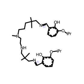 CC(C)Oc1cccc(/C=N/CC(C)(C)CCCN(C)CCNCC(C)(C)C/N=C/c2cccc(OC(C)C)c2O)c1O